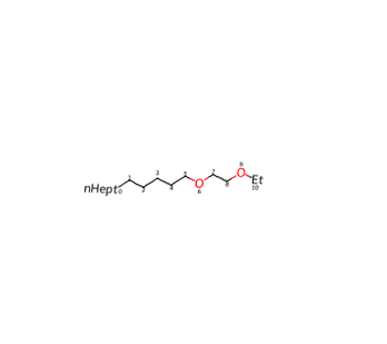 CCCCCCCCCCCCOCCOCC